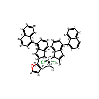 CC1=Cc2c(-c3cccc4ccccc34)cccc2[CH]1[Zr]([Cl])([Cl])([CH]1C(c2ccco2)=Cc2c(-c3cccc4ccccc34)cccc21)=[Si](C)C